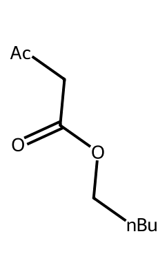 CCCCCOC(=O)CC(C)=O